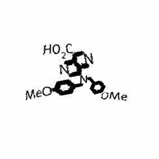 COc1ccc(CN(Cc2ccc(OC)cc2)c2cncc3c(C(=O)O)cncc23)cc1